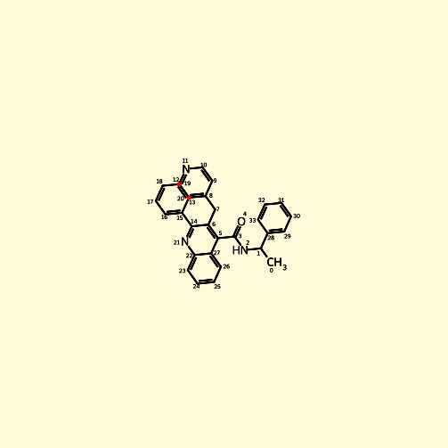 CC(NC(=O)c1c(Cc2ccncc2)c(-c2ccccc2)nc2ccccc12)c1ccccc1